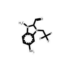 CN1c2ccc(N)cc2N(CC(F)(F)F)C1C=O